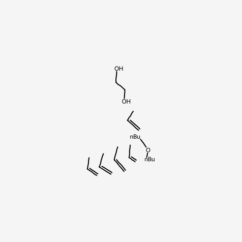 C=CC.C=CC.C=CC.C=CC.C=CC.CCCCOCCCC.OCCO